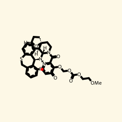 COCCOC(=O)OCOc1c2n(ccc1=O)N([C@@H]1c3ccccc3SCc3cccc(F)c31)[C@@H]1[C@H]3C[C@@H]4CC[C@@]3(CCN1C2=O)O4